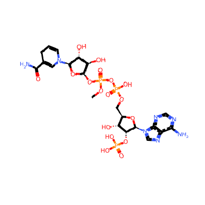 COP(=O)(O[C@H]1O[C@@H](N2C=CCC(C(N)=O)=C2)[C@H](O)[C@H]1O)OP(=O)(O)OC[C@H]1O[C@@H](n2cnc3c(N)ncnc32)[C@H](OP(=O)(O)O)[C@@H]1O